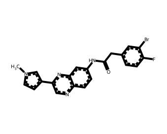 Cn1ccc(-c2cnc3ccc(NC(=O)Cc4ccc(F)c(Br)c4)cc3n2)c1